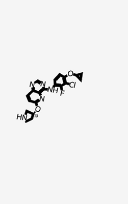 Fc1c(Nc2ncnc3ccc(O[C@H]4CCNC4)nc23)ccc(OC2CC2)c1Cl